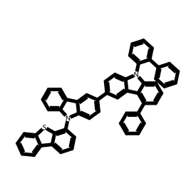 c1ccc(-c2ccccc2-n2c3ccc(-c4ccc5c(c4)c4ccccc4n5-c4cccc5c4sc4ccccc45)cc3c3c(-c4ccccc4)cccc32)cc1